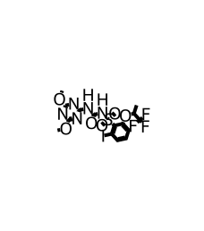 COc1nc(NC(=O)NS(=O)(=O)c2c(I)cccc2OC(C)C(F)(F)F)nc(OC)n1